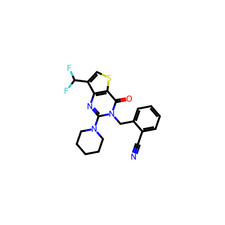 N#Cc1ccccc1Cn1c(N2CCCCC2)nc2c(C(F)F)csc2c1=O